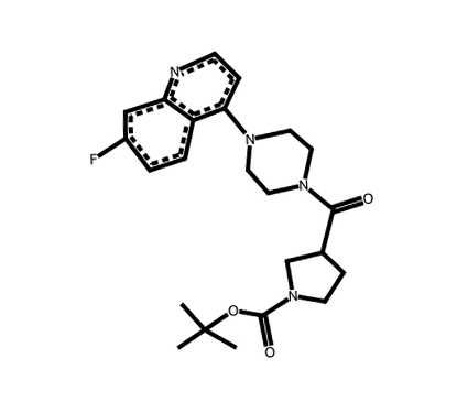 CC(C)(C)OC(=O)N1CCC(C(=O)N2CCN(c3ccnc4cc(F)ccc34)CC2)C1